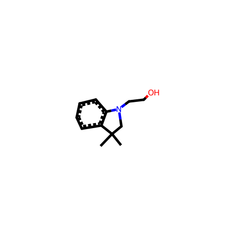 CC1(C)CN(CCO)c2ccccc21